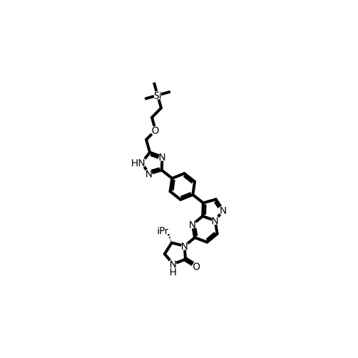 CC(C)[C@H]1CNC(=O)N1c1ccn2ncc(-c3ccc(-c4n[nH]c(COCC[Si](C)(C)C)n4)cc3)c2n1